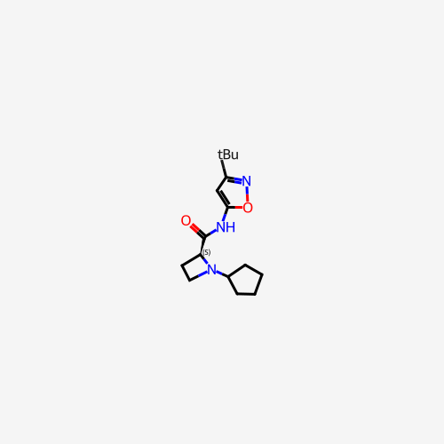 CC(C)(C)c1cc(NC(=O)[C@@H]2CCN2C2CCCC2)on1